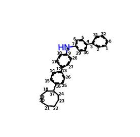 c1ccc(-c2ccc(Nc3ccc(-c4ccc(C5CCCCCCC5)cc4)cc3)cc2)cc1